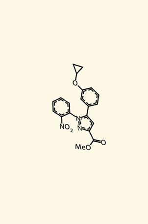 COC(=O)c1cc(-c2cccc(OC3CC3)c2)n(-c2ccccc2[N+](=O)[O-])n1